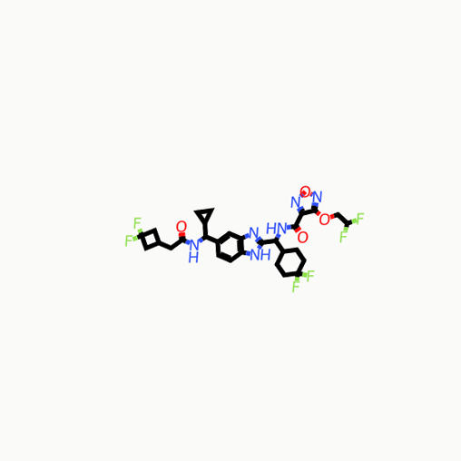 O=C(CC1CC(F)(F)C1)NC(c1ccc2[nH]c(C(NC(=O)c3nonc3OCC(F)F)C3CCC(F)(F)CC3)nc2c1)C1CC1